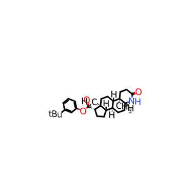 CC(C)(C)c1cccc(OC(=O)[C@H]2CC[C@H]3[C@@H]4CC[C@H]5NC(=O)CC[C@]5(C)[C@H]4CC[C@]23C)c1